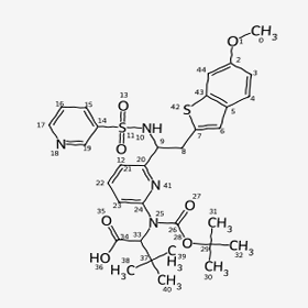 COc1ccc2cc(CC(NS(=O)(=O)c3cccnc3)c3cccc(N(C(=O)OC(C)(C)C)C(C(=O)O)C(C)(C)C)n3)sc2c1